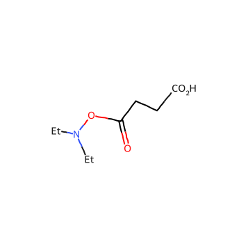 CCN(CC)OC(=O)CCC(=O)O